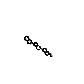 Brc1ccc2cc(C3=Cc4ccc(-c5ccc6ccccc6c5)cc4CC3)ccc2c1